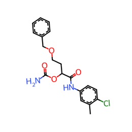 Cc1cc(NC(=O)C(CCOCc2ccccc2)OC(N)=O)ccc1Cl